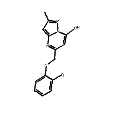 Cc1cc2nc(COc3ccccc3Cl)cc(O)n2n1